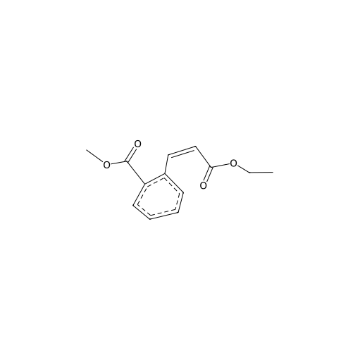 CCOC(=O)/C=C\c1ccccc1C(=O)OC